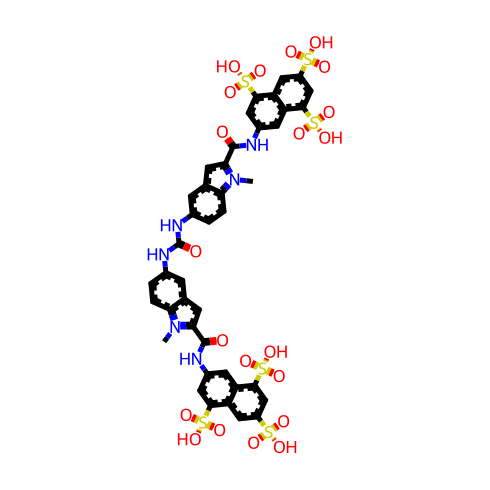 Cn1c(C(=O)Nc2cc(S(=O)(=O)O)c3cc(S(=O)(=O)O)cc(S(=O)(=O)O)c3c2)cc2cc(NC(=O)Nc3ccc4c(c3)cc(C(=O)Nc3cc(S(=O)(=O)O)c5cc(S(=O)(=O)O)cc(S(=O)(=O)O)c5c3)n4C)ccc21